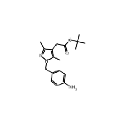 Cc1nn(Cc2ccc(N)cc2)c(C)c1CC(=O)OC(C)(C)C